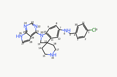 Clc1ccc(CNc2ccc3c(c2)C2(CCNCC2)CN3c2ncnc3[nH]ccc23)cc1